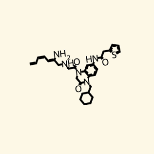 C=C/C=C\C=C(/N)CNCC(=O)N1CC(=O)N(CC2CCCCC2)c2ccc(NC(=O)Cc3cccs3)cc21